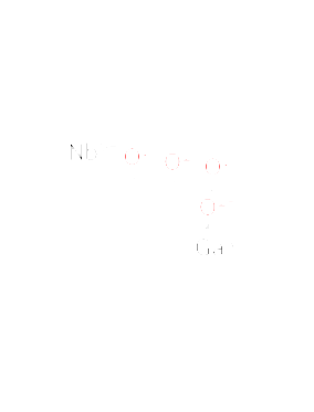 [Ga+3].[Nb+5].[O-2].[O-2].[O-2].[O-2]